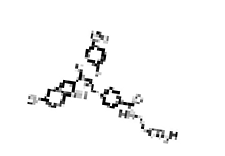 CC(C)(C)c1ccc(C[C@H](Cc2ccc(C(=O)NCCC(=O)O)cc2)C(=O)c2cc3cc(Cl)ccc3[nH]2)cc1